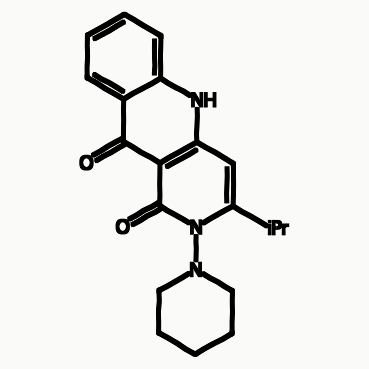 CC(C)c1cc2[nH]c3ccccc3c(=O)c2c(=O)n1N1CCCCC1